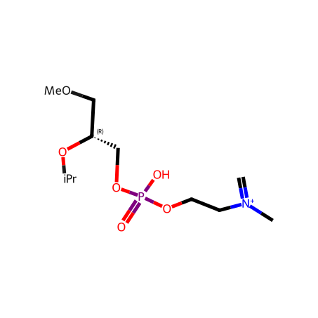 C=[N+](C)CCOP(=O)(O)OC[C@@H](COC)OC(C)C